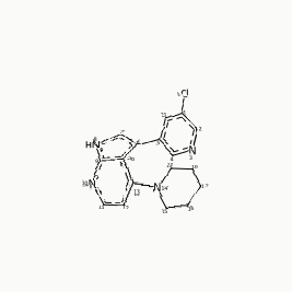 Clc1cncc(-c2c[nH]c3nccc(N4CCCCC4)c23)c1